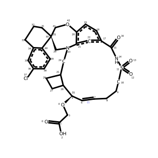 O=C(O)CO[C@@H]1/C=C/CCCS(=O)(=O)NC(=O)c2ccc3c(c2)N(CC2CCC21)C[C@@]1(CCCc2cc(Cl)ccc21)CO3